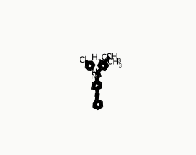 CC(C)(C)c1ccc(C2CC(c3ccc(C#Cc4ccccc4)cc3)=NN2c2ccc(Cl)cc2)cc1